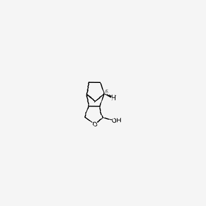 OC1OCC2C3CC[C@@H](C3)C12